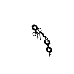 O=C1NC(CCCN2CC=C(c3ccc(F)cc3)CC2)Oc2ccccc21